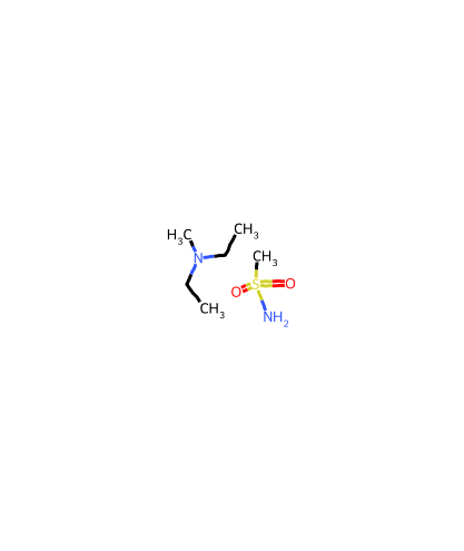 CCN(C)CC.CS(N)(=O)=O